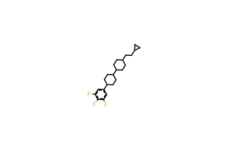 Fc1cc(C2CCC(C3CCC(CCC4CC4)CC3)CC2)cc(F)c1F